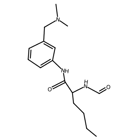 CCCCC(NC=O)C(=O)Nc1cccc(CN(C)C)c1